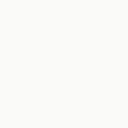 [Bi].[Mn+4].[O-2].[O-2]